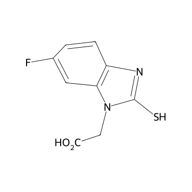 O=C(O)Cn1c(S)nc2ccc(F)cc21